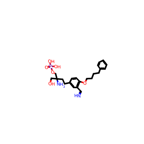 N=Cc1cc(CCC(N)(CO)COP(=O)(O)O)ccc1OCCCCc1ccccc1